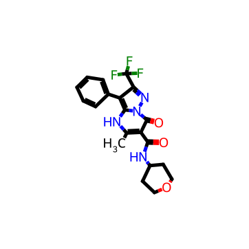 Cc1[nH]c2c(-c3ccccc3)c(C(F)(F)F)nn2c(=O)c1C(=O)NC1CCOCC1